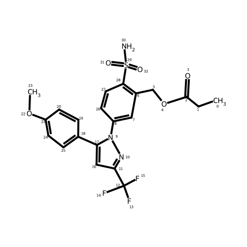 CCC(=O)OCc1cc(-n2nc(C(F)(F)F)cc2-c2ccc(OC)cc2)ccc1S(N)(=O)=O